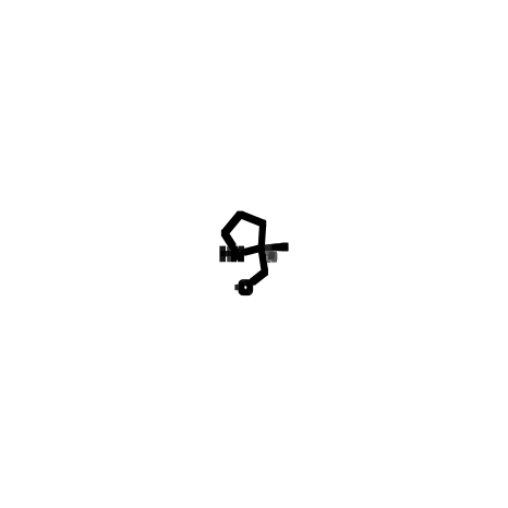 C[C@]1(C[O])CCCN1